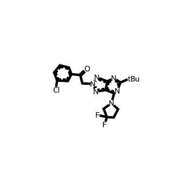 CC(C)(C)c1nc(N2CCC(F)(F)C2)c2nn(CC(=O)c3cccc(Cl)c3)nc2n1